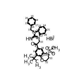 Br.CC(C)(C)c1cc(C(=O)Cn2c(=N)n(Cc3ccccc3)c3ccccc32)cc2c1OCCN2S(C)(=O)=O